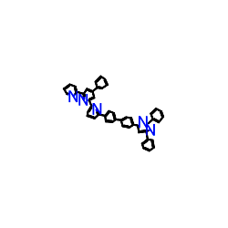 c1ccc(-c2cc(-c3ccccn3)nc(-c3cccc(-c4ccc(-c5ccc(-c6cc(-c7ccccc7)nc(-c7ccccc7)n6)cc5)cc4)n3)c2)cc1